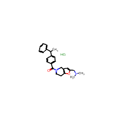 CC(c1ccccc1)c1ccc(C(=O)N2CCc3oc(CN(C)C)cc3C2)cc1.Cl